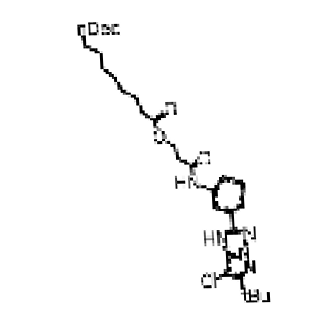 CCCCCCCCCCCCCCCCCC(=O)OCCC(=O)Nc1cccc(-c2nn3nc(C(C)(C)C)c(Cl)c3[nH]2)c1